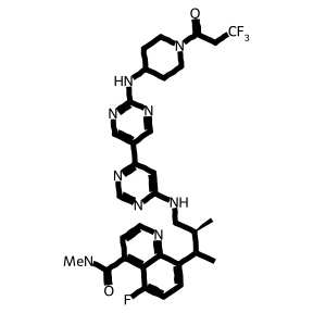 CNC(=O)c1ccnc2c(C(C)[C@H](C)CNc3cc(-c4cnc(NC5CCN(C(=O)CC(F)(F)F)CC5)nc4)ncn3)ccc(F)c12